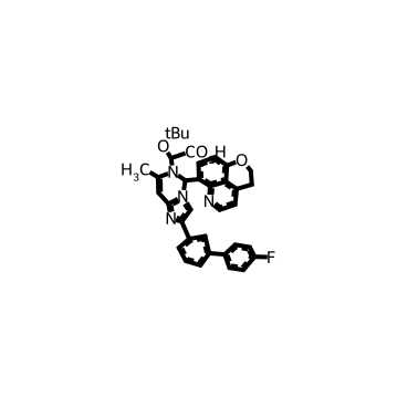 CC1=Cc2nc(-c3cccc(-c4ccc(F)cc4)c3)cn2C(c2ccc3c4c(ccnc24)CCO3)N1C(OC(C)(C)C)C(=O)O